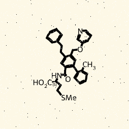 CSCC[C@H](NC(=O)c1cc(CCc2ccccc2)c(COc2cccnc2)cc1-c1ccccc1C)C(=O)O